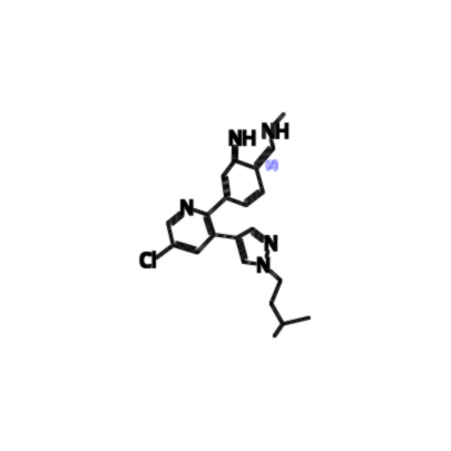 CN/C=C1/C=CC(c2ncc(Cl)cc2-c2cnn(CCC(C)C)c2)=CC1=N